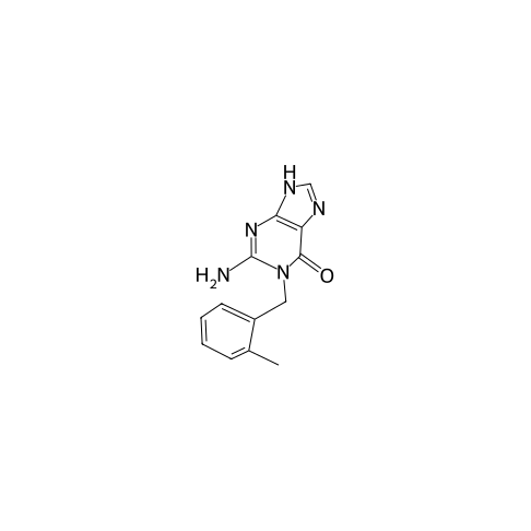 Cc1ccccc1Cn1c(N)nc2[nH]cnc2c1=O